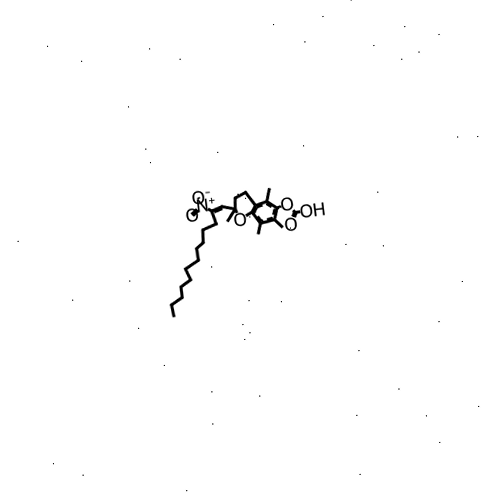 CCCCCCCCCCC/C(=C\C1(C)CCc2c(C)c(OC(=O)O)c(C)c(C)c2O1)[N+](=O)[O-]